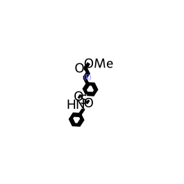 COC(=O)/C=C/c1cccc(S(=O)(=O)NCc2ccccc2)c1